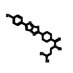 CCN(CC)CCN(CC)C(=O)C1CCN(c2nn3cc(-c4ccc(C(C)C)cc4)nc3s2)CC1